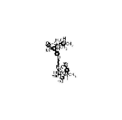 CCN(c1cc(-c2ccc(OCCCCCOCC(=O)NC(C(=O)N3C[C@H](O)C[C@H]3C(=O)N[C@@H](C)c3ccc(-c4scnc4C)cc3)C(C)(C)C)cc2)cc(C(=O)NCC2=C(C)C=C(C)NC2C)c1C)C1CCOCC1